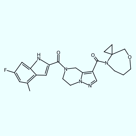 Cc1cc(F)cc2[nH]c(C(=O)N3CCn4ncc(C(=O)N5CCCOCC56CC6)c4C3)cc12